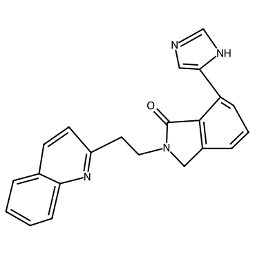 O=C1c2c(cccc2-c2cnc[nH]2)CN1CCc1ccc2ccccc2n1